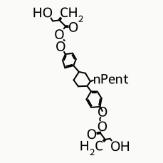 C=C(CO)C(=O)OCOc1ccc(C2CCC(c3ccc(OCOC(=O)C(=C)CO)cc3)C(CCCCC)C2)cc1